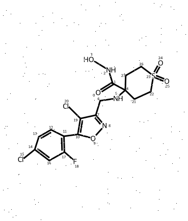 O=C(NO)C1(NCc2noc(-c3ccc(Cl)cc3F)c2Cl)CCS(=O)(=O)CC1